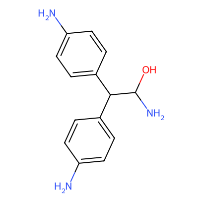 Nc1ccc(C(c2ccc(N)cc2)C(N)O)cc1